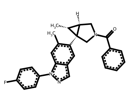 Cc1cc2c(cnn2-c2ccc(F)cc2)cc1[C@@]12CN(C(=O)c3ccccc3)C[C@@H]1[C@H]2C